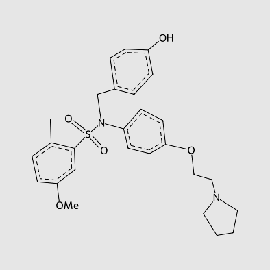 COc1ccc(C)c(S(=O)(=O)N(Cc2ccc(O)cc2)c2ccc(OCCN3CCCC3)cc2)c1